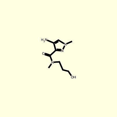 CN(CCCO)C(=O)c1nn(C)cc1N